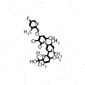 CC1=CN(C)C(c2nc(C(C)(C)O)ccc2C)C=C1n1c(C)cc(OCc2ncc(F)cc2C)c(Cl)c1=O